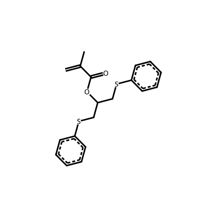 C=C(C)C(=O)OC(CSc1ccccc1)CSc1ccccc1